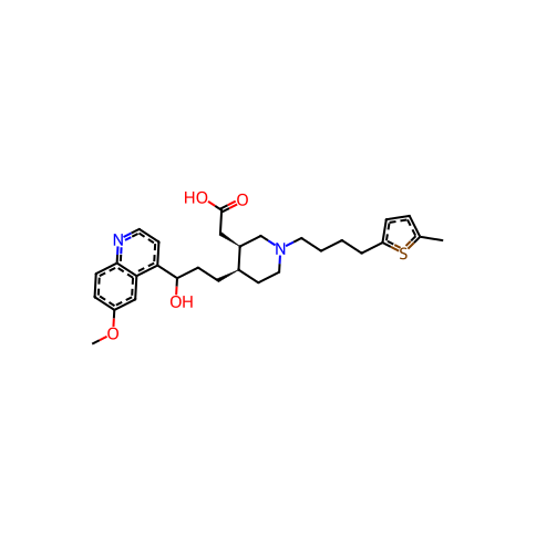 COc1ccc2nccc(C(O)CC[C@@H]3CCN(CCCCc4ccc(C)s4)C[C@@H]3CC(=O)O)c2c1